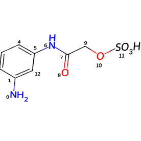 Nc1cccc(NC(=O)COS(=O)(=O)O)c1